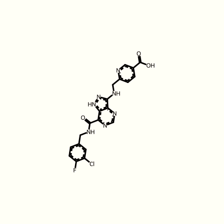 O=C(O)c1ccc(CNc2n[nH]c3c(C(=O)NCc4ccc(F)c(Cl)c4)ncnc23)nc1